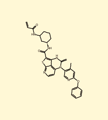 C=CC(=O)NC1CCC[C@@H](NC(=O)c2sc3nccc4c3c2[nH]c(=C)n4-c2cnc(Oc3ccccc3)cc2C)C1